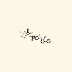 Cc1c(CNC(=O)c2ccc(Oc3cccc(-c4ccnnc4)c3C#N)c(Cl)c2)c(=O)[nH]n1C